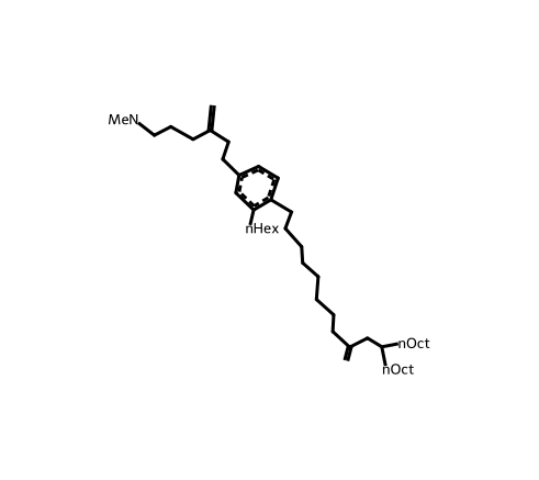 C=C(CCCNC)CCc1ccc(CCCCCCCCC(=C)CC(CCCCCCCC)CCCCCCCC)c(CCCCCC)c1